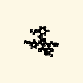 CC(=O)c1ccc(-c2c(Cc3ccccc3C(F)(F)F)sc3c2c(=O)n(C)c(=O)n3CC(C)C)s1